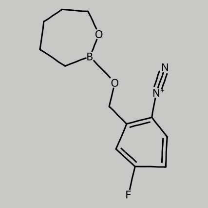 N#[N+]c1ccc(F)cc1COB1CCCCCO1